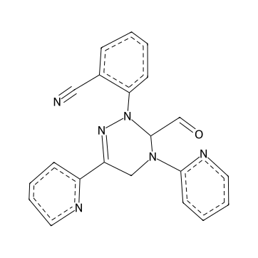 N#Cc1ccccc1N1N=C(c2ccccn2)CN(c2ccccn2)C1C=O